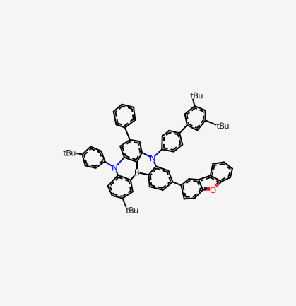 CC(C)(C)c1ccc(N2c3ccc(C(C)(C)C)cc3B3c4ccc(-c5ccc6oc7ccccc7c6c5)cc4N(c4ccc(-c5cc(C(C)(C)C)cc(C(C)(C)C)c5)cc4)c4cc(-c5ccccc5)cc2c43)cc1